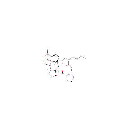 CCCCC1CC(C23C[C@@H]4[C@H](C)CC[C@H]4C4(C=O)CC2C=C(C(C)C)C34C(=O)O)OC1CN1CCC[C@H]1C(=O)OC